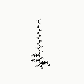 CCCCCCCCCCCCC[C@@H](O)C[C@H](O)C1(N)CC1